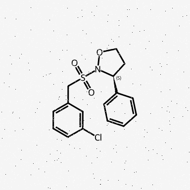 O=S(=O)(Cc1cccc(Cl)c1)N1OCC[C@H]1c1ccccc1